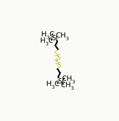 C[Si](C)(C)CCCSSSSCCC[Si](C)(C)C